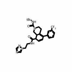 CC(C)(C)NC(=O)N1CCC2=C(c3cccc(C(F)(F)F)c3)C=CC(C(=O)NCCn3cncn3)C2C1